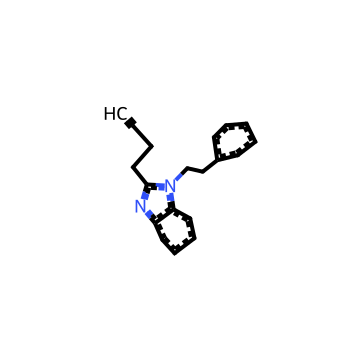 C#CCCc1nc2ccccc2n1CCc1ccccc1